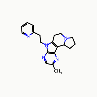 Cc1cnc2c(n1)c1c(n2CCc2ccccn2)CCN2CCCC12